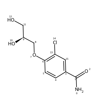 NC(=O)c1ccc(OC[C@@H](O)CO)c(Cl)c1